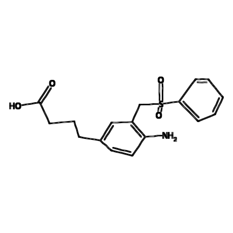 Nc1ccc(CCCC(=O)O)cc1CS(=O)(=O)c1ccccc1